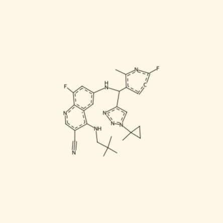 Cc1nc(F)ccc1C(Nc1cc(F)c2ncc(C#N)c(NCC(C)(C)C)c2c1)c1cn(C2(C)CC2)nn1